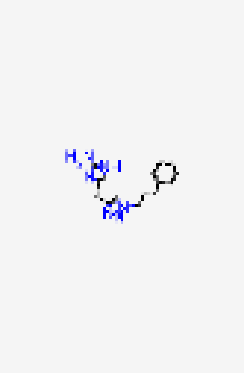 Nc1nc(Cc2cn(CCCc3ccccc3)nn2)c[nH]1